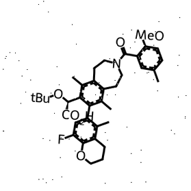 COc1ccc(C)cc1C(=O)N1CCc2c(C)c(-c3cc(F)c4c(c3C)CCCO4)c([C@H](OC(C)(C)C)C(=O)O)c(C)c2CC1